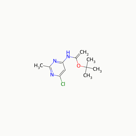 C=C(Nc1cc(Cl)nc(C)n1)OC(C)(C)C